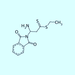 CCSC(=S)CC(N)N1C(=O)c2ccccc2C1=O